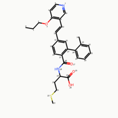 CCCOc1ccncc1C=Cc1ccc(C(=O)NC(CCSC)C(=O)O)c(-c2ccccc2C)c1